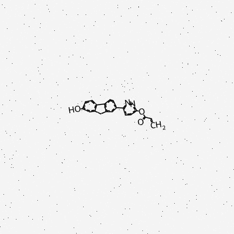 C=CC(=O)Oc1ccc(-c2ccc3c(c2)Cc2cc(O)ccc2-3)nn1